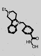 CCN1CCc2c(c3ccccc3n2Cc2ccc(C(=O)NO)cc2)C1